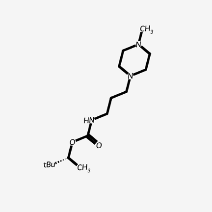 C[C@@H](OC(=O)NCCCN1CCN(C)CC1)C(C)(C)C